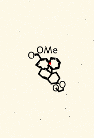 COC(=O)c1ccc2c(c1)CC=C1CC3(CCC12c1ccccc1)OCCO3